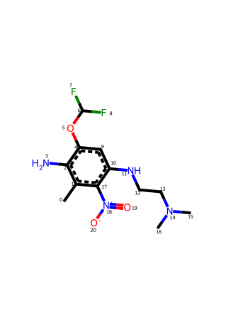 Cc1c(N)c(OC(F)F)cc(NCCN(C)C)c1[N+](=O)[O-]